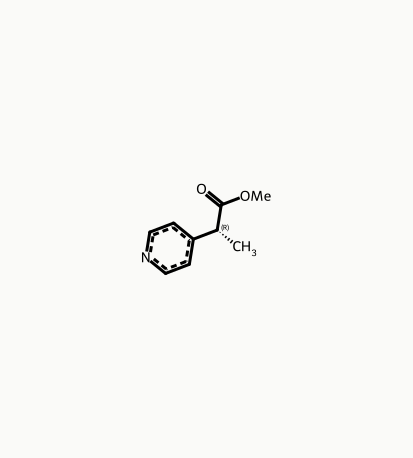 COC(=O)[C@H](C)c1ccncc1